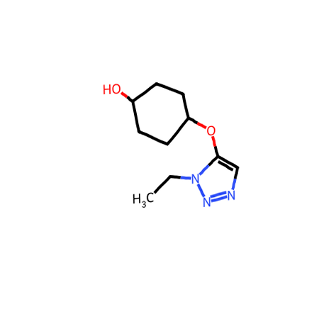 CCn1nncc1OC1CCC(O)CC1